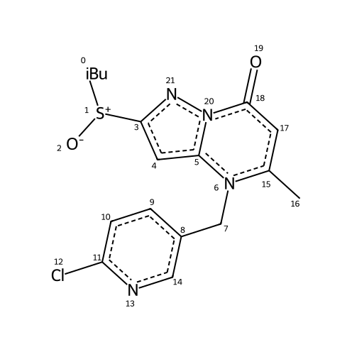 CCC(C)[S+]([O-])c1cc2n(Cc3ccc(Cl)nc3)c(C)cc(=O)n2n1